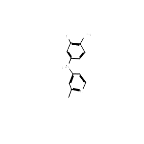 Cc1cc(Nc2ccc(O)c(F)c2)ccn1